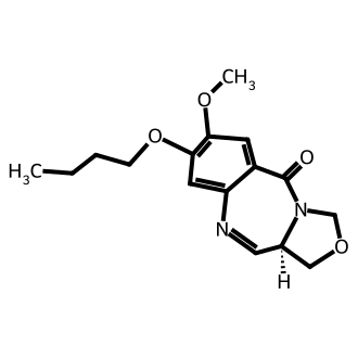 CCCCOc1cc2c(cc1OC)C(=O)N1COC[C@H]1C=N2